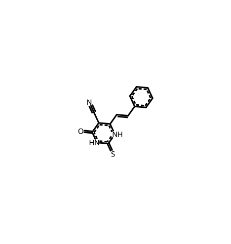 N#Cc1c(C=Cc2ccccc2)[nH]c(=S)[nH]c1=O